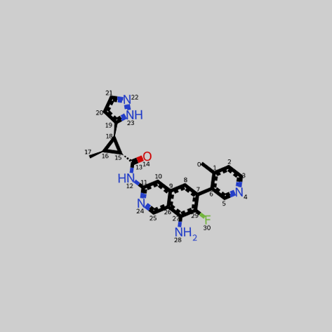 Cc1ccncc1-c1cc2cc(NC(=O)[C@@H]3[C@@H](C)[C@H]3c3ccn[nH]3)ncc2c(N)c1F